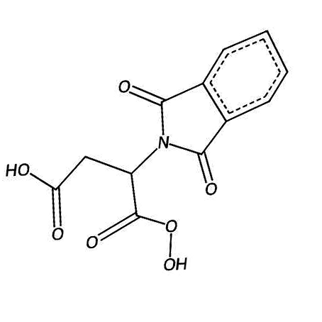 O=C(O)CC(C(=O)OO)N1C(=O)c2ccccc2C1=O